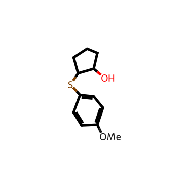 COc1ccc(SC2CCCC2O)cc1